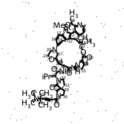 CCn1c(-c2cccnc2[C@H](C)OC)c2c3cc(ccc31)N1CCO[C@@H](C[C@H](NC(=O)C(C(C)C)N3CC[C@@]4(CCN(C(=O)C#CC(C)(C)N(C)C)C4)C3=O)C(=O)N3CCC[C@H](N3)C(=O)OCC(C)(C)C2)C1